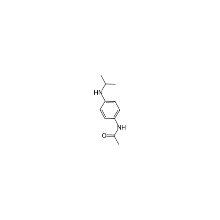 CC(=O)Nc1ccc(NC(C)C)cc1